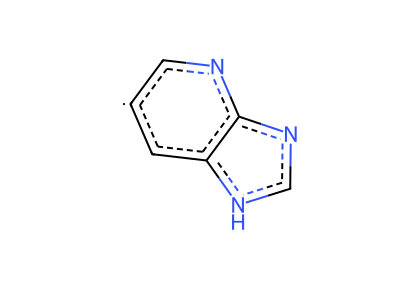 [c]1cnc2nc[nH]c2c1